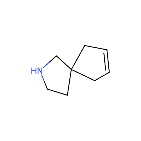 C1=CCC2(C1)CCNC2